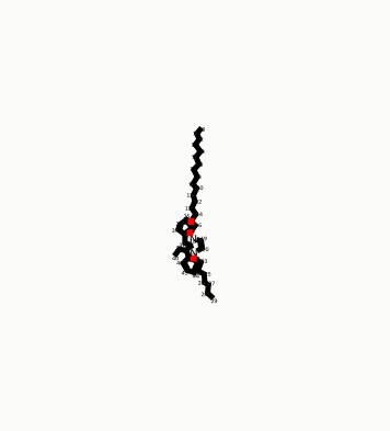 CCCCCCCCCCCCCCCCCCN1C=CN(CCCCCCCC)C1(Cc1ccccc1)C(CC)c1ccccc1